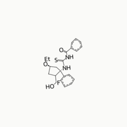 CCO[C@@H]1CC(CO)[C@](NC(=S)NC(=O)c2ccccc2)(c2ccccc2F)C1